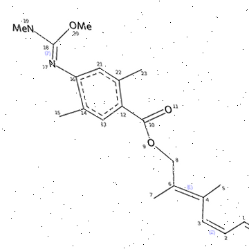 C=C/C=C\C(C)=C(/C)COC(=O)c1cc(C)c(/N=C(/NC)OC)cc1C